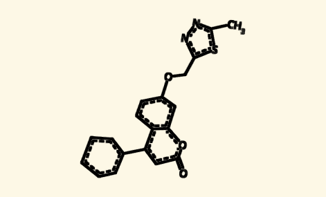 Cc1nnc(COc2ccc3c(-c4ccccc4)cc(=O)oc3c2)s1